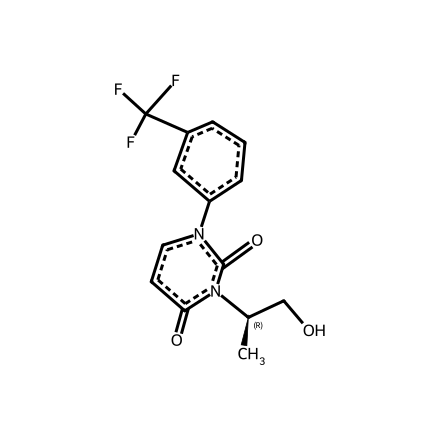 C[C@H](CO)n1c(=O)ccn(-c2cccc(C(F)(F)F)c2)c1=O